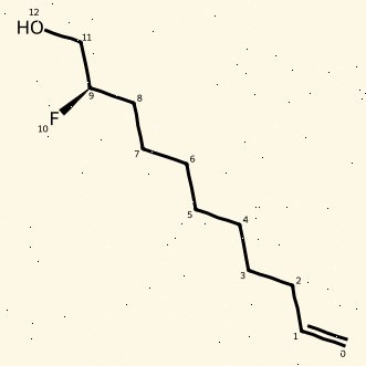 C=CCCCCCCC[C@@H](F)CO